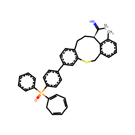 CC(=N)[C@@H]1CCc2ccc(-c3ccc(P(=O)(C4=CC=CC=CC4)c4ccccc4)cc3)cc2SCc2cccc(C)c21